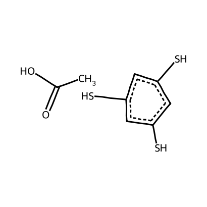 CC(=O)O.Sc1cc(S)cc(S)c1